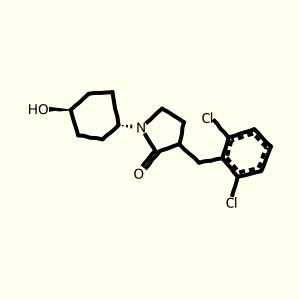 O=C1C(Cc2c(Cl)cccc2Cl)CCN1[C@H]1CC[C@H](O)CC1